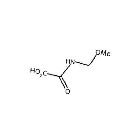 COCNC(=O)C(=O)O